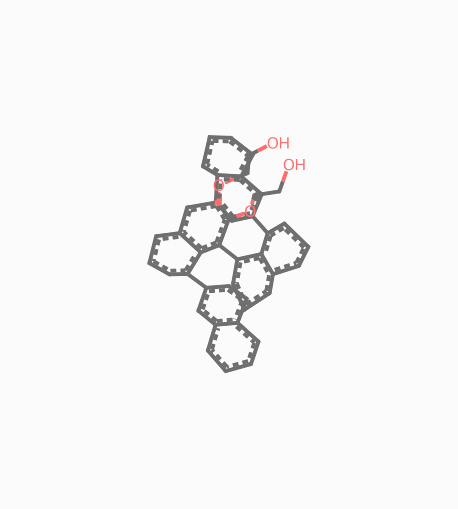 OCCOc1cc2cccc(-c3ccc4ccccc4c3)c2c(-c2cccc3cccc(-c4ccc5ccccc5c4)c23)c1OCCO